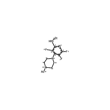 CCNc1nc(F)c(F)c(N2CCN(C(C)=O)CC2)c1F